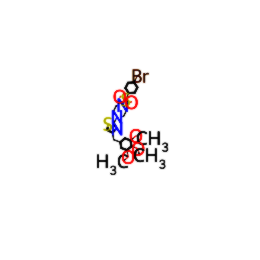 COc1cc(Cc2csc(N3CCN(S(=O)(=O)c4ccc(Br)cc4)CC3)n2)cc(OC)c1OC